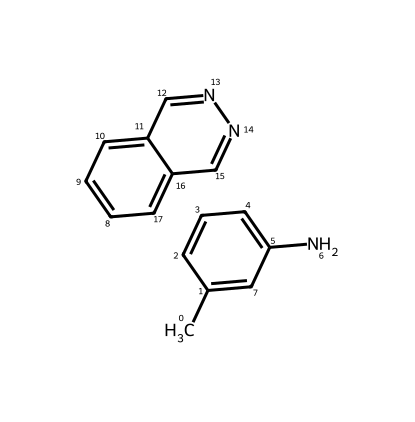 Cc1cccc(N)c1.c1ccc2cnncc2c1